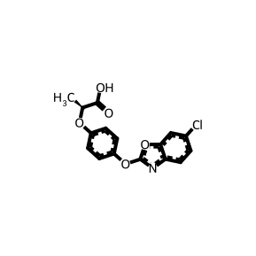 C[C@H](Oc1ccc(Oc2nc3ccc(Cl)cc3o2)cc1)C(=O)O